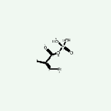 CCC=C(C)C(=O)OP(=O)(O)O